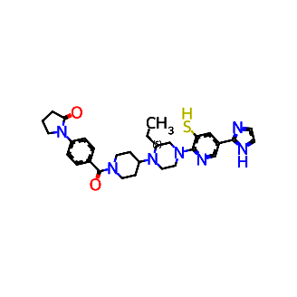 CC[C@H]1CN(c2ncc(-c3ncc[nH]3)cc2S)CCN1C1CCN(C(=O)c2ccc(N3CCCC3=O)cc2)CC1